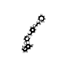 Fc1cc(OC2CCN(CCc3ccc(OCCCN4CCCCCC4)cc3)CC2)c2ncccc2c1